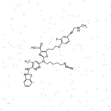 CNCC#Cc1ccc(OCCCc2sc(N(CCCCCN=[N+]=[N-])c3cc(C)c(Nc4nc5ccccc5s4)nn3)nc2C(=O)O)c(F)c1